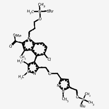 COC(=O)c1c(C)c2c(-c3c(COCc4cc(CO[Si](C)(C)C(C)(C)C)n(C)n4)nn(C)c3C)c(Cl)ccc2n1CCCO[Si](C)(C)C(C)(C)C